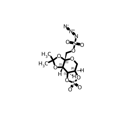 CC1(C)O[C@H]2[C@@H]3OS(=O)(=O)O[C@@H]3CO[C@@]2(COS(=O)(=O)N=[N+]=[N-])O1